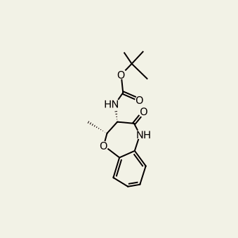 C[C@H]1Oc2ccccc2NC(=O)[C@H]1NC(=O)OC(C)(C)C